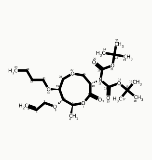 C=CCO[C@H]1[C@H](C)OC(=O)[C@@H](N(C(=O)OC(C)(C)C)C(=O)OC(C)(C)C)COC[C@@H]1OCCCC